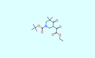 CCOC(=O)C(=O)C1CN(C(=O)OC(C)(C)C)CC(C)(C)C1=O